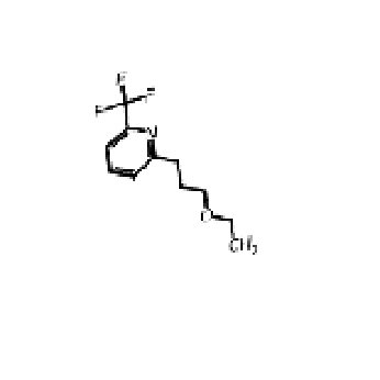 CCOCCCc1[c]ccc(C(F)(F)F)n1